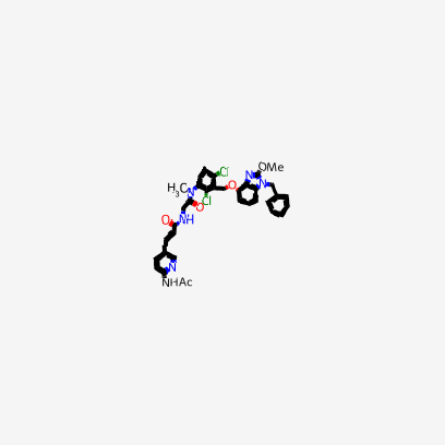 COc1nc2c(OCc3c(Cl)ccc(N(C)C(=O)CNC(=O)C=Cc4ccc(NC(C)=O)nc4)c3Cl)cccc2n1Cc1ccccc1